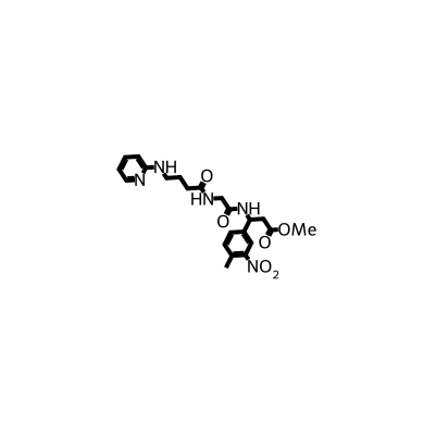 COC(=O)CC(NC(=O)CNC(=O)CCCNc1ccccn1)c1ccc(C)c([N+](=O)[O-])c1